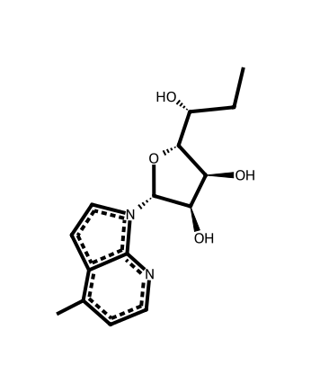 CC[C@@H](O)[C@H]1O[C@@H](n2ccc3c(C)ccnc32)[C@H](O)[C@@H]1O